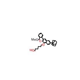 COC(=O)c1ccccc1-c1cc(OCCCCCCO)c2ccc(C34CC5CC(CC(C5)C3)C4)cc2c1